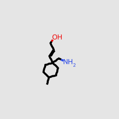 CC1CCC(C=CCO)(CN)CC1